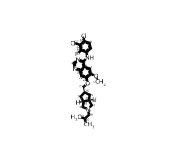 COc1cc2c(Nc3ccc(Cl)c(Cl)c3F)ncnc2cc1OC[C@H]1C[C@@H]2CN(CC(C)C)C[C@@H]2C1